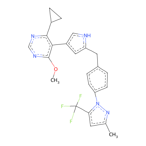 COc1ncnc(C2CC2)c1-c1c[nH]c(Cc2ccc(-n3nc(C)cc3C(F)(F)F)cc2)c1